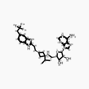 CC(C)[C@]1(NC[C@H]2O[C@@H](n3cnc4c(N)ncnc43)[C@@H](O)[C@H]2O)C[C@H](CCc2nc3cc(CC(F)(F)F)ccc3[nH]2)C1